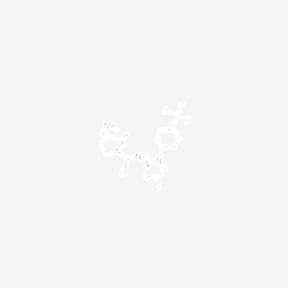 Cc1cn(-c2ccc(C(F)(F)F)cc2)/c(=N/C(=O)N2CC[C@H](N)[C@H]2C)s1